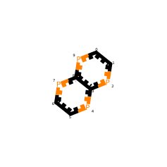 c1cpc2pccpc2p1